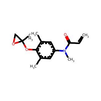 C=CC(=O)N(C)c1cc(C)c(OC2(C)CO2)c(C)c1